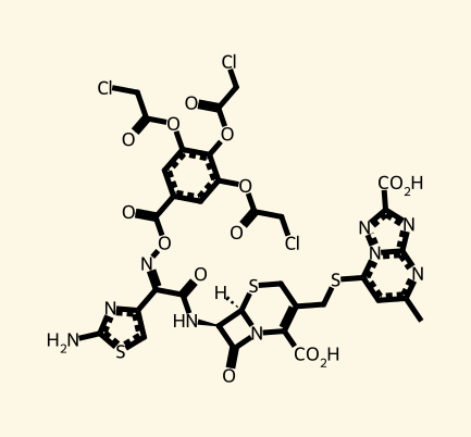 Cc1cc(SCC2=C(C(=O)O)N3C(=O)[C@@H](NC(=O)/C(=N\OC(=O)c4cc(OC(=O)CCl)c(OC(=O)CCl)c(OC(=O)CCl)c4)c4csc(N)n4)[C@H]3SC2)n2nc(C(=O)O)nc2n1